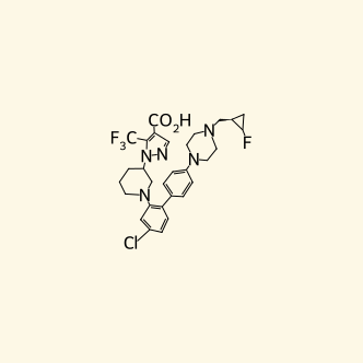 O=C(O)c1cnn(C2CCCN(c3cc(Cl)ccc3-c3ccc(N4CCN(C[C@H]5CC5F)CC4)cc3)C2)c1C(F)(F)F